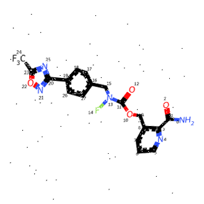 NC(=O)c1ncccc1COC(=O)N(F)Cc1ccc(-c2noc(C(F)(F)F)n2)cc1